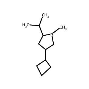 CC(C)C1CC(C2CCC2)CN1C